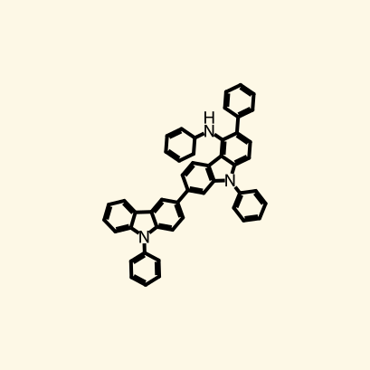 C1=CCC(Nc2c(-c3ccccc3)ccc3c2c2ccc(-c4ccc5c(c4)c4ccccc4n5-c4ccccc4)cc2n3-c2ccccc2)C=C1